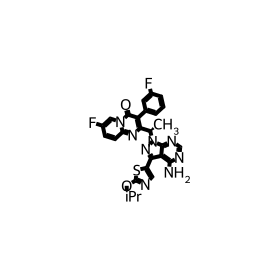 CC(C)Oc1ncc(-c2nn([C@H](C)c3nc4ccc(F)cn4c(=O)c3-c3cccc(F)c3)c3ncnc(N)c23)s1